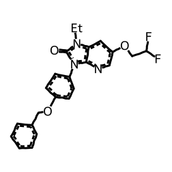 CCn1c(=O)n(-c2ccc(OCc3ccccc3)cc2)c2ncc(OCC(F)F)cc21